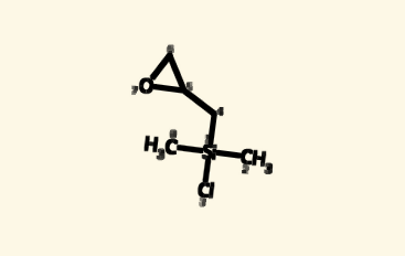 C[Si](C)(Cl)CC1CO1